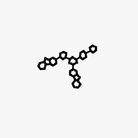 c1ccc(-c2ccc(-c3nc(-c4cccc(-c5ccc6c(c5)oc5ccccc56)c4)nc(-c4ccc5c(c4)oc4ccccc45)n3)cc2)cc1